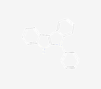 c1ccc(-n2c3ccccc3c3c4ccccc4[nH]c32)cc1